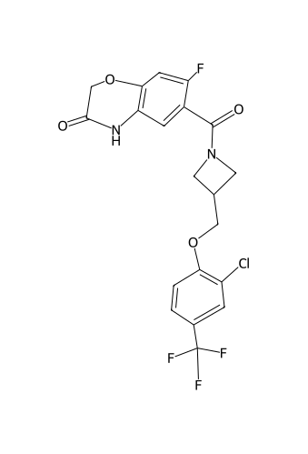 O=C1COc2cc(F)c(C(=O)N3CC(COc4ccc(C(F)(F)F)cc4Cl)C3)cc2N1